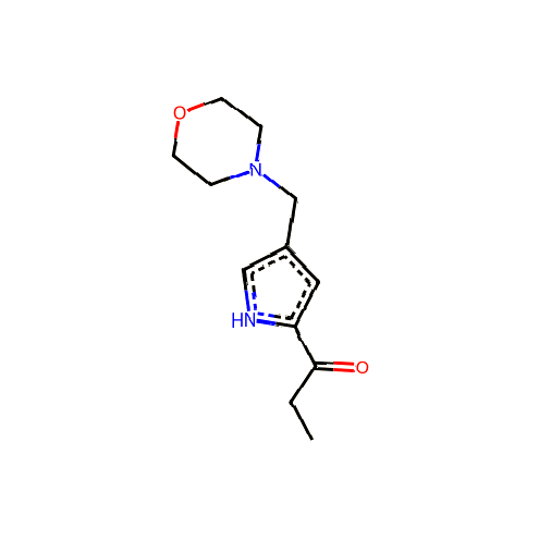 CCC(=O)c1cc(CN2CCOCC2)c[nH]1